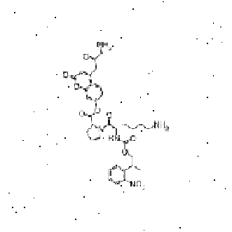 CC(COC(=O)N[C@@H](CCCCN)C(=O)N1CCC[C@H]1C(=O)Oc1ccc2c(CC(=O)CN)cc(=O)oc2c1)c1ccccc1[N+](=O)[O-]